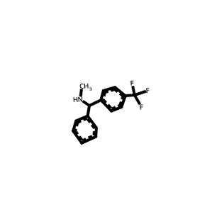 CNC(c1ccccc1)c1ccc(C(F)(F)F)cc1